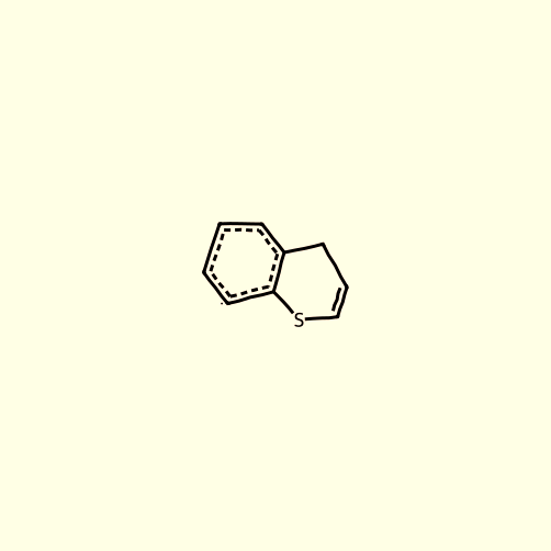 [c]1cccc2c1SC=CC2